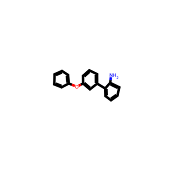 Nc1ccccc1-c1cccc(Oc2ccccc2)c1